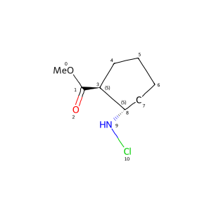 COC(=O)[C@H]1CCCC[C@@H]1NCl